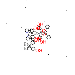 C/C=C(/C(=C/C)c1ccc(O)cc1)c1ccc(O)cc1.CC/C(=C(/CC)c1ccc(O)cc1)c1ccc(O)cc1.CC[C@H](c1ccc(O)cc1)[C@@H](CC)c1ccc(O)cc1.O=C(CC(=O)c1ccccc1)c1ccccc1